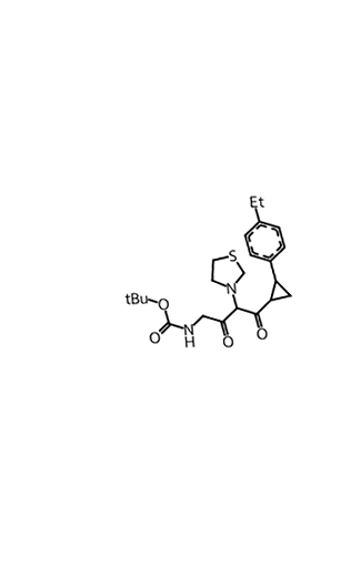 CCc1ccc(C2CC2C(=O)C(C(=O)CNC(=O)OC(C)(C)C)N2CCSC2)cc1